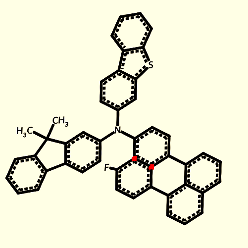 CC1(C)c2ccccc2-c2ccc(N(c3ccc(-c4cccc5cccc(-c6ccc(F)cc6)c45)cc3)c3ccc4c(c3)sc3ccccc34)cc21